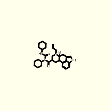 C=CCN1CC(C(=O)N(C(=O)NC2CCCCC2)C2CCCCC2)CC2c3cccc4[nH]cc(c34)C[C@H]21